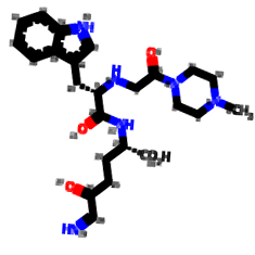 CN1CCN(C(=O)CN[C@@H](Cc2c[nH]c3ccccc23)C(=O)N[C@@H](CCC(=O)C=N)C(=O)O)CC1